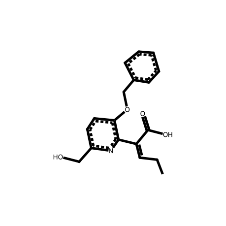 CCC=C(C(=O)O)c1nc(CO)ccc1OCc1ccccc1